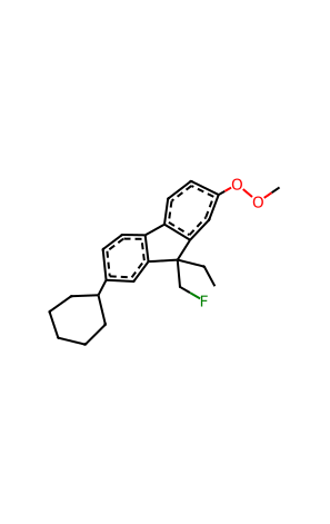 CCC1(CF)c2cc(OOC)ccc2-c2ccc(C3CCCCC3)cc21